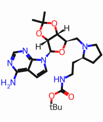 CC(C)(C)OC(=O)NCC[C@@H]1CCCN1C[C@H]1O[C@@H](n2ccc3c(N)ncnc32)[C@@H]2OC(C)(C)O[C@@H]21